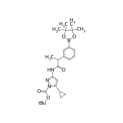 CC(C(=O)Nc1cc(C2CC2)n(C(=O)OC(C)(C)C)n1)c1cccc(B2OC(C)(C)C(C)(C)O2)c1